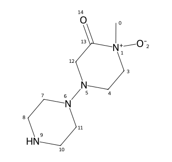 C[N+]1([O-])CCN(N2CCNCC2)CC1=O